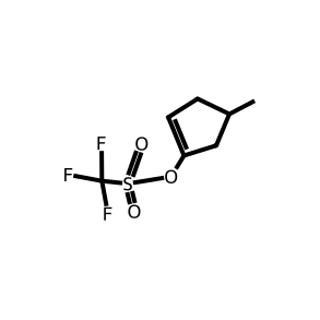 CC1CC=C(OS(=O)(=O)C(F)(F)F)C1